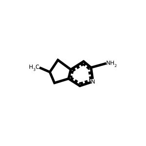 CC1Cc2cnc(N)cc2C1